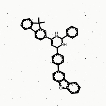 CC1(C)c2ccccc2-c2ccc(C3=CC(c4ccc(-c5ccc6oc7ccccc7c6c5)cc4)NC(c4ccccc4)N3)cc21